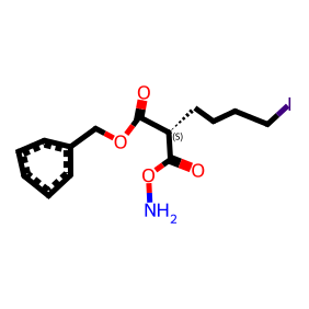 NOC(=O)[C@@H](CCCCI)C(=O)OCc1ccccc1